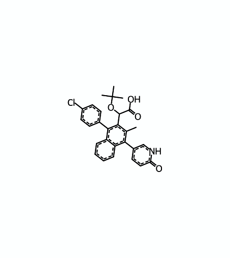 Cc1c(C(OC(C)(C)C)C(=O)O)c(-c2ccc(Cl)cc2)c2ccccc2c1-c1ccc(=O)[nH]c1